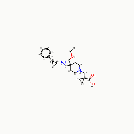 CCOCC1(CN[C@@H]2C[C@H]2c2ccccc2)CCN(CC2(C(=O)O)CC2)CC1